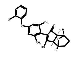 Cc1cc(Oc2ccccc2Cl)cc(C)c1C1=C(O)[C@H]2[C@@H](C1=O)[C@@H]1CC[C@H]2O1